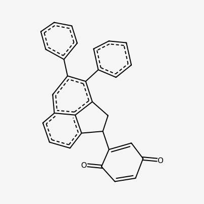 O=C1C=CC(=O)C(C2Cc3c(-c4ccccc4)c(-c4ccccc4)cc4cccc2c34)=C1